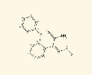 CO/N=C(\C(N)=O)c1ccccc1Oc1ccccc1